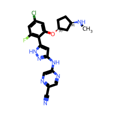 CN[C@@H]1CC[C@@H](Oc2cc(Cl)cc(F)c2-c2cc(Nc3cnc(C#N)cn3)n[nH]2)C1